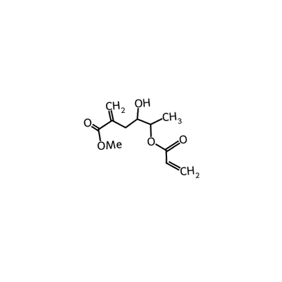 C=CC(=O)OC(C)C(O)CC(=C)C(=O)OC